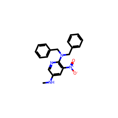 CNc1cnc(N(Cc2ccccc2)Cc2ccccc2)c([N+](=O)[O-])c1